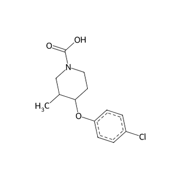 CC1CN(C(=O)O)CCC1Oc1ccc(Cl)cc1